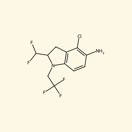 Nc1ccc2c(c1Cl)CC(C(F)F)N2CC(F)(F)F